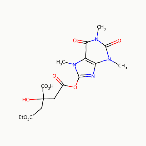 CCOC(=O)CC(O)(CC(=O)Oc1nc2c(c(=O)n(C)c(=O)n2C)n1C)C(=O)O